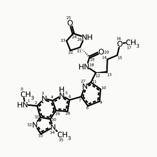 CNc1nc2[nH]c(-c3cccc([C@H](CCCOC)NC(=O)[C@@H]4CCC(=O)N4)n3)cc2c2c1ncn2C